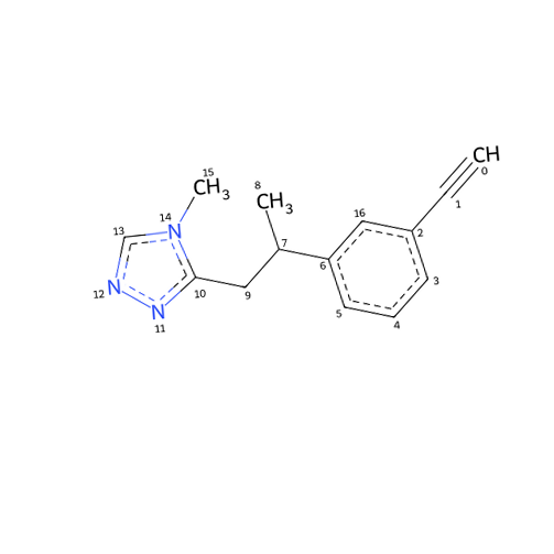 C#Cc1cccc(C(C)Cc2nncn2C)c1